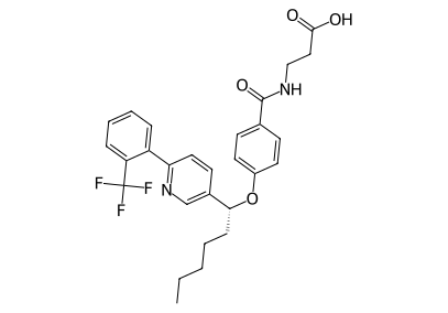 CCCCC[C@@H](Oc1ccc(C(=O)NCCC(=O)O)cc1)c1ccc(-c2ccccc2C(F)(F)F)nc1